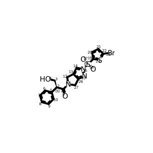 O=C([C@H](CO)c1ccccc1)N1Cc2cn(S(=O)(=O)c3ccc(Br)s3)nc2C1